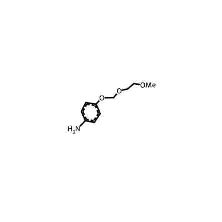 COCCOCOc1ccc(N)cc1